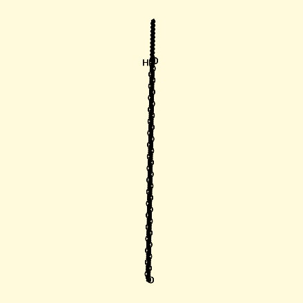 CCCCCCCCCCCCCCCCCCCCCC(=O)NCCOCCOCCOCCOCCOCCOCCOCCOCCOCCOCCOCCOCCOCCOCCOCCOCCOCCOCCOCCOCCOCCOCCOCCOCCOCCOCCOCCOCCOCCOCCOCCOCCOCCOCCOCCOCCC(C)=O